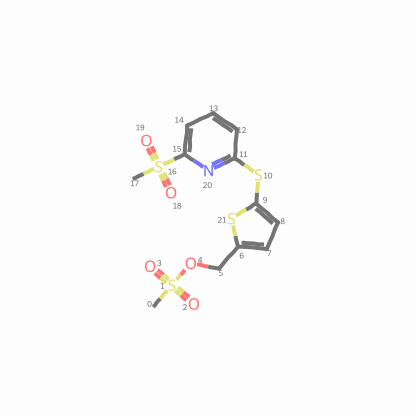 CS(=O)(=O)OCc1ccc(Sc2cccc(S(C)(=O)=O)n2)s1